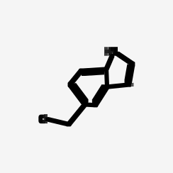 ClCc1ccc2[nH]c[c]c2c1